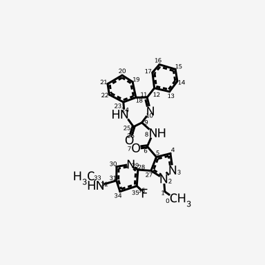 CCn1ncc(C(=O)NC2N=C(c3ccccc3)c3ccccc3NC2=O)c1-c1ncc(NC)cc1F